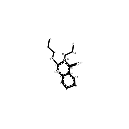 CCCSc1nc2ccccc2c(=O)n1CCC